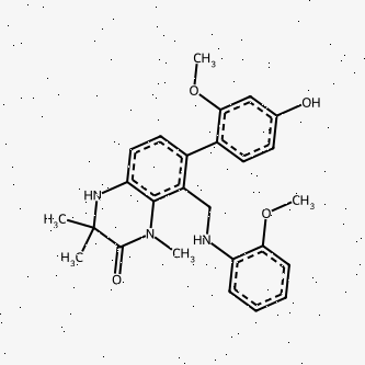 COc1ccccc1NCc1c(-c2ccc(O)cc2OC)ccc2c1N(C)C(=O)C(C)(C)N2